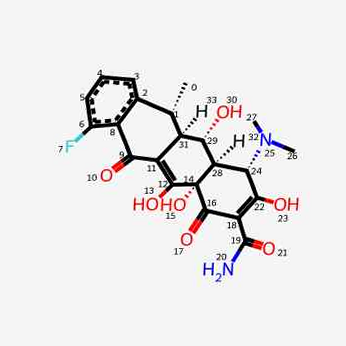 C[C@H]1c2cccc(F)c2C(=O)C2=C(O)[C@]3(O)C(=O)C(C(N)=O)=C(O)[C@@H](N(C)C)[C@@H]3[C@@H](O)[C@@H]21